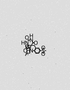 C[C@@H]1CN2c3ccc(S(C)(=O)=O)cc3CC3(C(=O)NC(=O)NC3=O)[C@H]2[C@H](C)O1